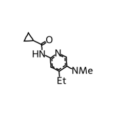 CCc1cc(NC(=O)C2CC2)ncc1NC